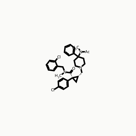 CC(=O)N(C)C1(c2ccccc2)CCN(C[C@@H]2C[C@@]2(C(=O)N(C)Cc2ccccc2Cl)c2ccc(Cl)cc2)CC1